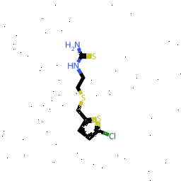 NC(=S)NCCSCc1ccc(Cl)s1